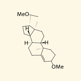 COC1C=C2CC[C@H]3[C@@H]4CC[C@H](C(C)OC)[C@@]4(C)CC[C@@H]3[C@@]2(C)CC1